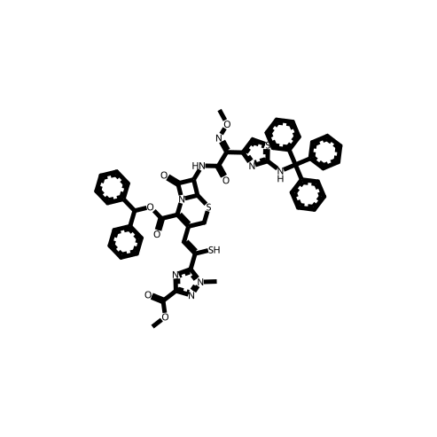 CON=C(C(=O)NC1C(=O)N2C(C(=O)OC(c3ccccc3)c3ccccc3)=C(C=C(S)c3nc(C(=O)OC)nn3C)CSC12)c1csc(NC(c2ccccc2)(c2ccccc2)c2ccccc2)n1